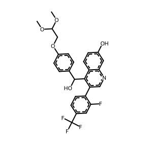 COC(COc1ccc(C(O)c2c(-c3ccc(C(F)(F)F)cc3F)cnc3cc(O)ccc23)cc1)OC